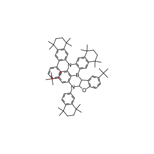 CC(C)(C)c1ccc2c(c1)C1B3c4cc5c(cc4N(c4cc6c(cc4-c4ccccc4)C(C)(C)CCC6(C)C)c4cc(C(C)(C)C)cc(c43)N(c3ccc4c(c3)C(C)(C)CCC4(C)C)C1O2)C(C)(C)CCC5(C)C